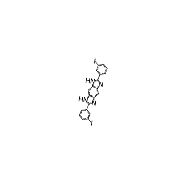 Ic1cccc(-c2nc3cc4nc(-c5cccc(I)c5)[nH]c4cc3[nH]2)c1